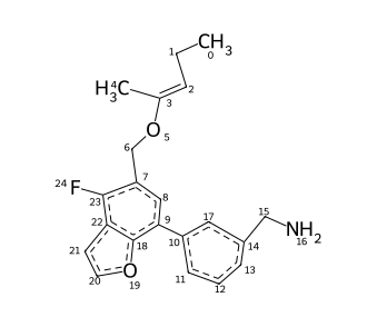 CC/C=C(\C)OCc1cc(-c2cccc(CN)c2)c2occc2c1F